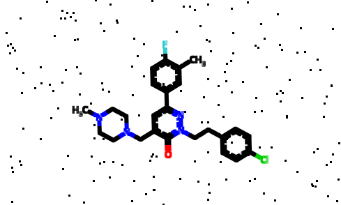 Cc1cc(-c2cc(CN3CCN(C)CC3)c(=O)n(CCc3ccc(Cl)cc3)n2)ccc1F